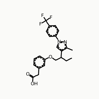 CCC(COc1cccc(CC(=O)O)c1)c1cn(-c2ccc(C(F)(F)F)cc2)nc1C